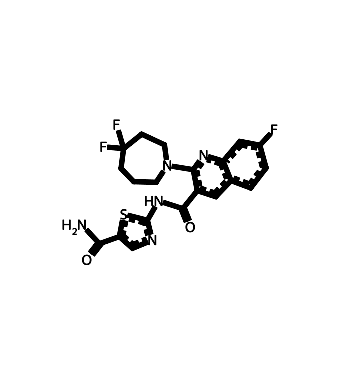 NC(=O)c1cnc(NC(=O)c2cc3ccc(F)cc3nc2N2CCCC(F)(F)CC2)s1